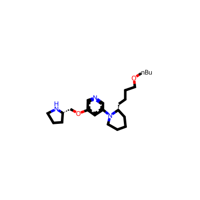 CCCCOCCCC[C@@H]1CCCCN1c1cncc(OC[C@@H]2CCCN2)c1